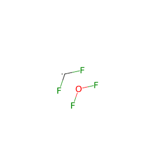 FOF.F[CH]F